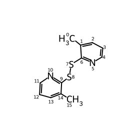 Cc1cccnc1SSc1ncccc1C